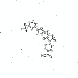 O=C(O)c1ccc(N2C(=O)/C(=C\c3ccc(-c4cccc(C(F)(F)F)c4)o3)SC2=S)cc1